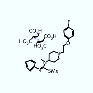 CSC(=Nc1ccccc1)N(C)C1CCN(CCOc2ccc(F)cc2)CC1.O=C(O)/C=C/C(=O)O.O=C(O)/C=C/C(=O)O